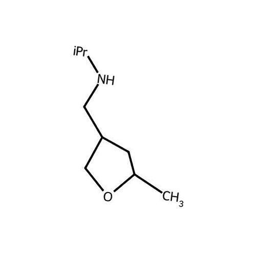 CC(C)NCC1COC(C)C1